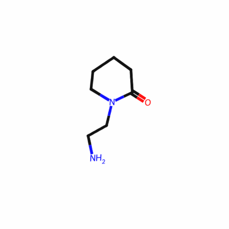 NCCN1CCCCC1=O